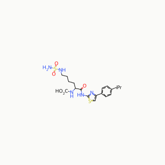 CC(C)c1ccc(-c2csc(NC(=O)C(CCCCNS(N)(=O)=O)NC(=O)O)n2)cc1